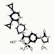 C[C@H]1COC(=O)N1c1ccc(C(=O)N2CCN(c3ncc(C4CC4)cc3C3CC3)CC2)c(S(C)(=O)=O)c1.Cl